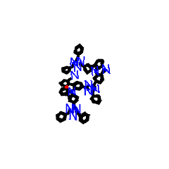 N#Cc1ccccc1-c1ccc(-c2nc(-c3ccccc3)nc(-c3ccc(C#N)c(-n4c5ccccc5c5cc(-c6nc(-c7ccccc7)nc(-c7ccccc7)n6)ccc54)c3)n2)cc1-n1c2ccccc2c2cc(-c3nc(-c4ccccc4)nc(-c4ccccc4)n3)ccc21